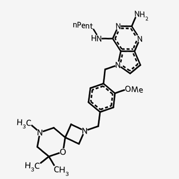 CCCCCNc1nc(N)nc2ccn(Cc3ccc(CN4CC5(CN(C)CC(C)(C)O5)C4)cc3OC)c12